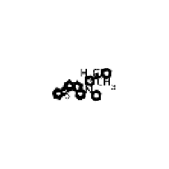 CC(C)(c1ccccc1)c1cccc(N(c2ccccc2)c2cccc3c2ccc2ccc4c5ccccc5sc4c23)c1